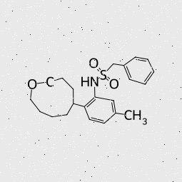 Cc1ccc(C2CCCCOCCC2)c(NS(=O)(=O)Cc2ccccc2)c1